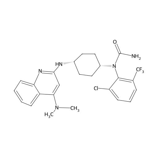 CN(C)c1cc(N[C@H]2CC[C@@H](N(C(N)=O)c3c(Cl)cccc3C(F)(F)F)CC2)nc2ccccc12